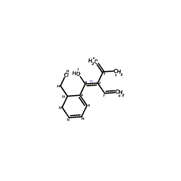 C=C/C(C(=C)C)=C(/O)C1=CC=CCC1CCl